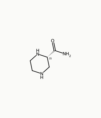 NC(=O)[C@@H]1CNCCN1